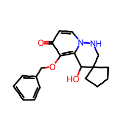 O=c1ccn2c(c1OCc1ccccc1)C(O)C1(CCCC1)CN2